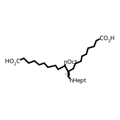 CCCCCCC/C=C(\CCCCCCCCC(=O)O)C(CCCCCCCC)CCCCCCCCC(=O)O